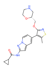 Cc1snc(OC[C@H]2CNCCO2)c1-c1ccn2nc(NC(=O)C3CC3)cc2c1